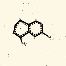 Nc1cc2c(N)cccc2cn1